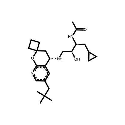 CC(=O)N[C@@H](CC1CC1)[C@@H](O)CN[C@H]1CC2(CCC2)Oc2ncc(CC(C)(C)C)cc21